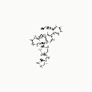 CC(=O)Nc1ccccc1-c1ccc2c(c1)Oc1ccccc1N2C1CCN(CC2=CCCS2)CC1